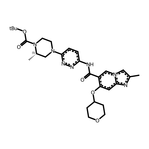 Cc1cn2cc(C(=O)Nc3ccc(N4CCN(C(=O)OC(C)(C)C)[C@@H](C)C4)nn3)c(OC3CCOCC3)cc2n1